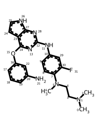 CN(C)CCN(C)c1ccc(Nc2nc(Oc3cccc(N)c3)c3cc[nH]c3n2)cc1F